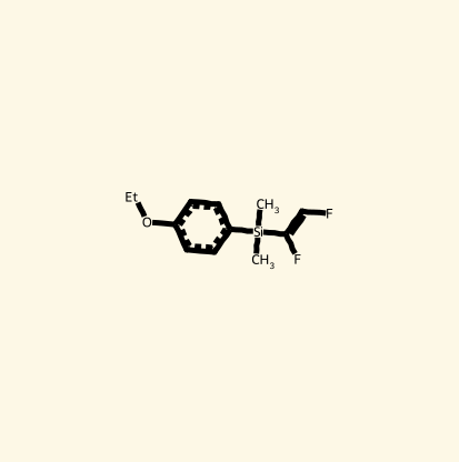 CCOc1ccc([Si](C)(C)C(F)=CF)cc1